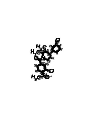 C[C@H]1[C@H](C)N(c2cccc(Cl)c2)CCN1C(=O)c1ccc([S+](C)[O-])c(Cl)c1